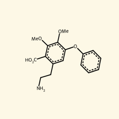 COc1c(Oc2ccccc2)cc(CCN)c(C(=O)O)c1OC